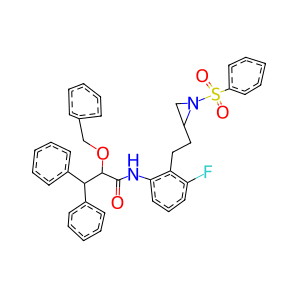 O=C(Nc1cccc(F)c1CCC1CN1S(=O)(=O)c1ccccc1)C(OCc1ccccc1)C(c1ccccc1)c1ccccc1